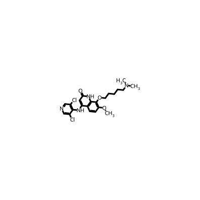 COc1ccc2c(Nc3c(Cl)cncc3Cl)cc(=O)[nH]c2c1OCCCCCN(C)C